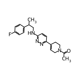 CC(=O)N1CC=C(c2ccc(NCC(C)c3ccc(F)cc3)nn2)CC1